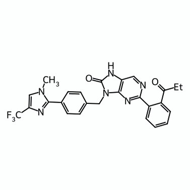 CCC(=O)c1ccccc1-c1ncc2[nH]c(=O)n(Cc3ccc(-c4nc(C(F)(F)F)cn4C)cc3)c2n1